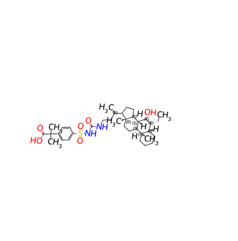 CC[C@H]1[C@@H](O)[C@@H]2[C@H](CC[C@]3(C)C([C@H](C)CCNC(=O)NS(=O)(=O)c4ccc(C(C)(C)C(=O)O)cc4)CC[C@@H]23)[C@@]2(C)CCCC[C@@H]12